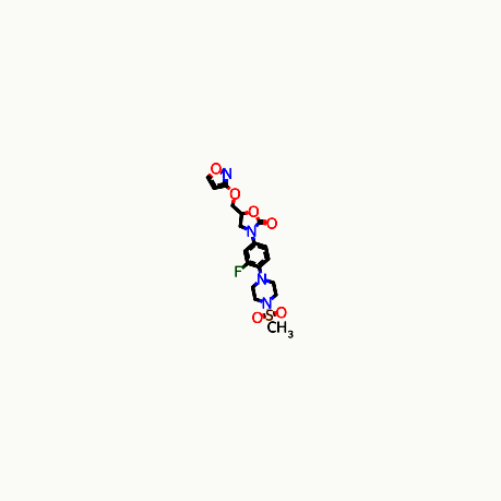 CS(=O)(=O)N1CCN(c2ccc(N3CC(COc4ccon4)OC3=O)cc2F)CC1